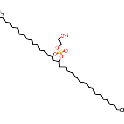 CCCCCCCCCCCCCCCCCCC(CCCCCCCCCCCCCCCCCC)OS(=O)(=O)OCCO